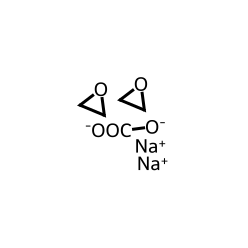 C1CO1.C1CO1.O=C([O-])[O-].[Na+].[Na+]